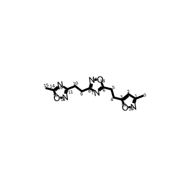 Cc1cc(CCc2nc(CCc3noc(C)n3)no2)on1